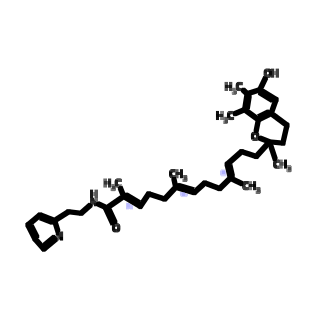 C/C(=C\CC/C(C)=C/CCC1(C)CCc2cc(O)c(C)c(C)c2O1)CC/C=C(\C)C(=O)NCCc1ccccn1